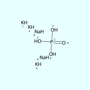 O=P(O)(O)O.[KH].[KH].[KH].[NaH].[NaH]